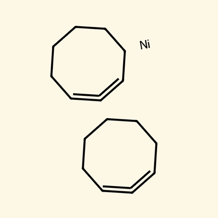 C1=CCCCCCC=1.C1=CCCCCCC=1.[Ni]